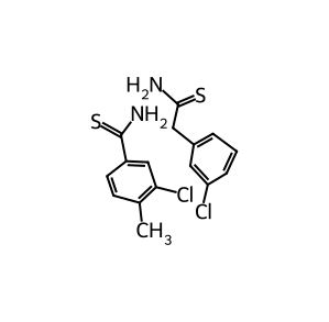 Cc1ccc(C(N)=S)cc1Cl.NC(=S)Cc1cccc(Cl)c1